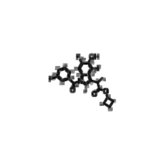 Cc1c(C(C)C(=O)OC2CCC2)c2c(F)c(O)c(F)cc2n1C(=O)c1cccc(F)c1